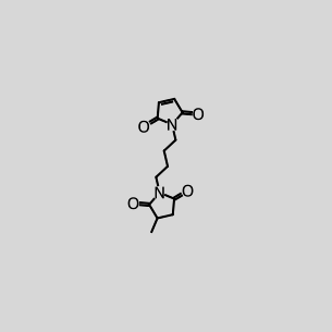 CC1CC(=O)N(CCCCN2C(=O)C=CC2=O)C1=O